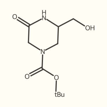 CC(C)(C)OC(=O)N1CC(=O)NC(CO)C1